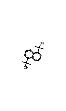 CC(C)(O)c1cccc2c(C(C)(C)O)cccc12